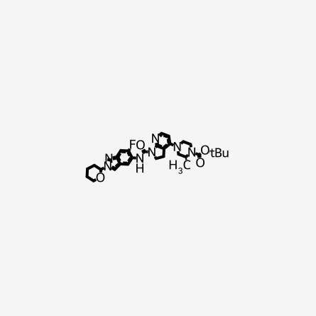 C[C@H]1CN(c2ccnc3c2CCN3C(=O)Nc2cc3cn(C4CCCCO4)nc3cc2F)CCN1C(=O)OC(C)(C)C